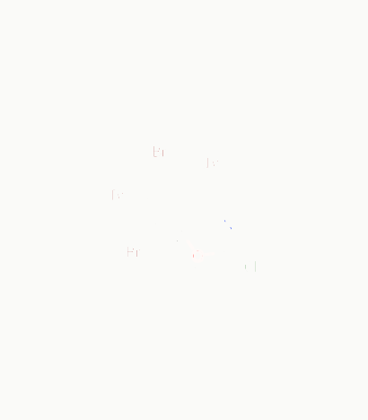 Clc1nc2c(Br)c(Br)c(Br)c(Br)c2o1